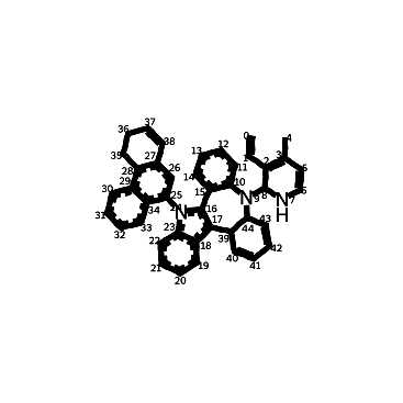 C=CC1=C(C)C=CNC1N1c2ccccc2-c2c(c3ccccc3n2-c2cc3c(c4ccccc24)CCC=C3)C2C=CC=CC21